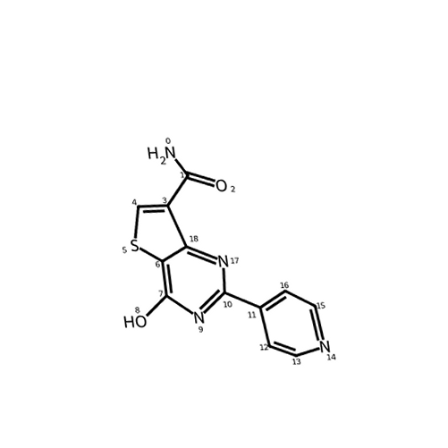 NC(=O)c1csc2c(O)nc(-c3ccncc3)nc12